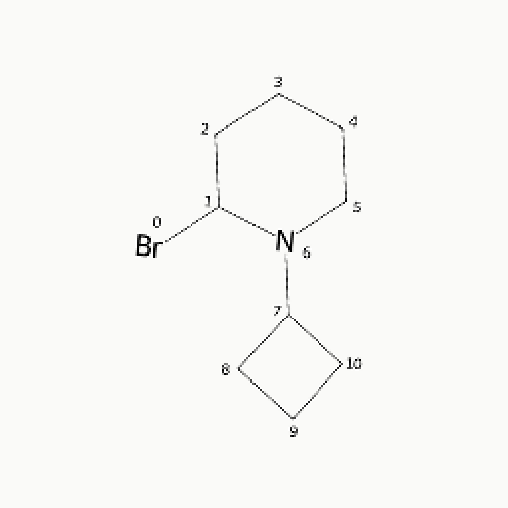 BrC1CCCCN1C1CCC1